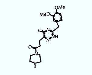 COc1ccc(Cc2nc(=O)c(CCC(=O)N3CCC(C)CC3)n[nH]2)cc1OC